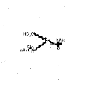 C=C1C(=O)C(NCCCN(CCCCCCCC(=O)O)CCCCCCCC(=O)OC(CC)CCCCCCCC)=C1NC